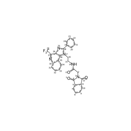 O=C(CN1C(=O)c2ccccc2C1=O)NCCn1c(-c2ccccc2)nc2c(C(F)(F)F)nc3ccccc3c21